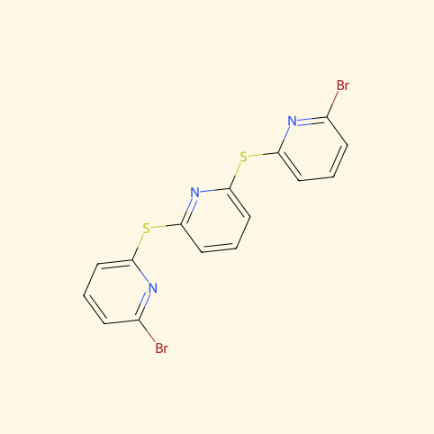 Brc1cccc(Sc2cccc(Sc3cccc(Br)n3)n2)n1